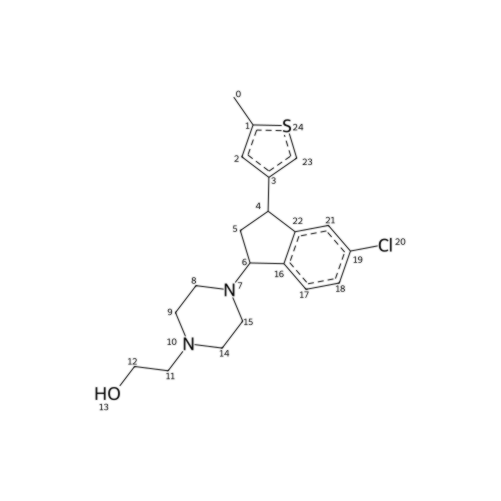 Cc1cc(C2CC(N3CCN(CCO)CC3)c3ccc(Cl)cc32)cs1